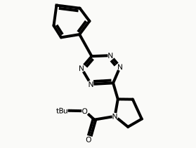 CC(C)(C)OC(=O)N1CCCC1c1nnc(-c2ccccc2)nn1